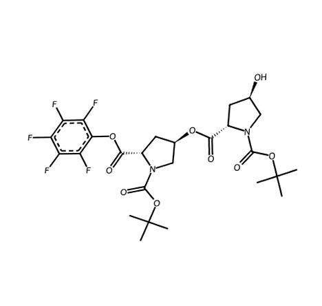 CC(C)(C)OC(=O)N1C[C@H](OC(=O)[C@@H]2C[C@@H](O)CN2C(=O)OC(C)(C)C)C[C@H]1C(=O)Oc1c(F)c(F)c(F)c(F)c1F